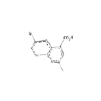 Cc1cc(C(=O)O)c2cc(Br)ccc2n1